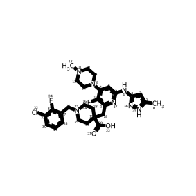 Cc1cc(Nc2cc(N3CCN(C)CC3)c(F)c(CC3(C(=O)O)CCN(Cc4cccc(Cl)c4F)CC3)n2)n[nH]1